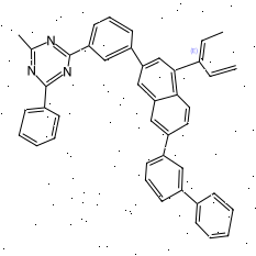 C=C/C(=C\C)c1cc(-c2cccc(-c3nc(C)nc(-c4ccccc4)n3)c2)cc2cc(-c3cccc(-c4ccccc4)c3)ccc12